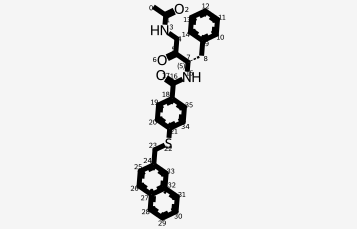 CC(=O)NCC(=O)[C@H](Cc1ccccc1)NC(=O)c1ccc(SCc2ccc3ccccc3c2)cc1